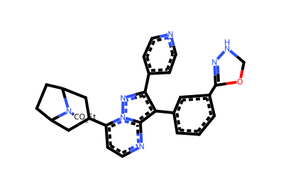 CCOC(=O)N1C2CCC1CC(c1ccnc3c(-c4cccc(C5=NNCO5)c4)c(-c4ccncc4)nn13)C2